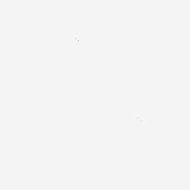 Cc1cccnc1-c1cccc(-c2cc(C(C)(C)S(C)(=O)=O)c3ncccc3c2)c1